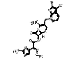 CCON=C(C(=O)NC1C(=O)N2C(C(=O)[O-])=C(C[n+]3cccc4c(Br)c(Br)sc43)CS[C@@H]12)c1csc(N)n1